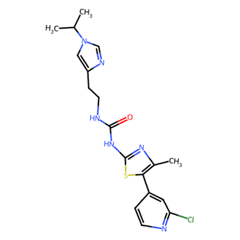 Cc1nc(NC(=O)NCCc2cn(C(C)C)cn2)sc1-c1ccnc(Cl)c1